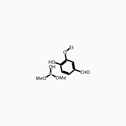 CCOc1cc(C=O)ccc1O.COP(O)OC